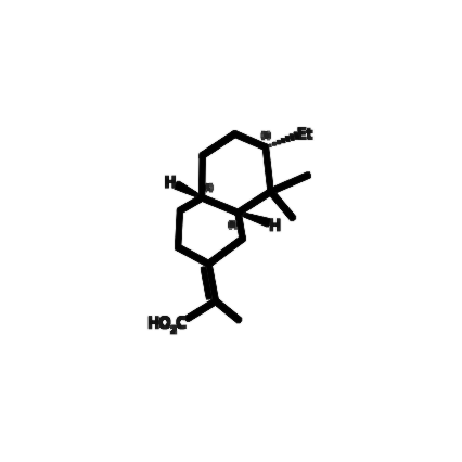 CC[C@H]1CC[C@H]2CCC(=C(C)C(=O)O)C[C@H]2C1(C)C